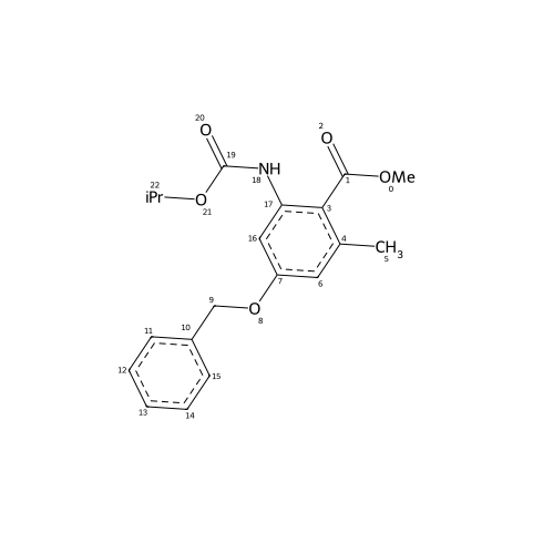 COC(=O)c1c(C)cc(OCc2ccccc2)cc1NC(=O)OC(C)C